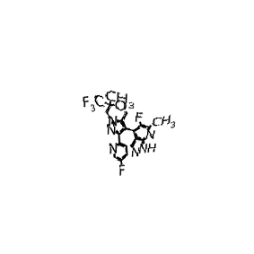 Cc1nc2[nH]ncc2c(-c2c(-c3ccc(F)cn3)nn3c2CO[C@](C)(C(F)(F)F)C3)c1F